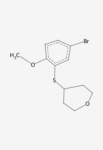 COc1ccc(Br)cc1SC1CCOCC1